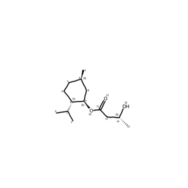 CC(C)[C@@H]1CC[C@@H](C)C[C@H]1OC(=O)C[C@@H](C)O